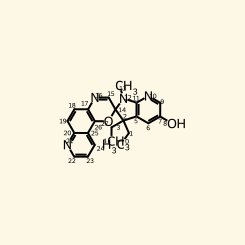 CCC1(CC)c2cc(O)cnc2N(C)C12C=Nc1ccc3ncccc3c1O2